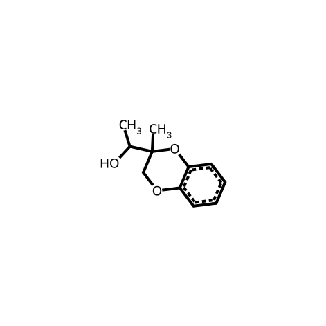 CC(O)C1(C)COc2ccccc2O1